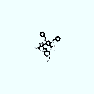 CCN1CCc2cc(-c3c(C(=O)O)noc3-c3cc(C(C)C)c(OCc4ccccc4)cc3OCc3ccccc3)sc2CC1